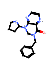 O=C1c2nccnc2N(C2CCCN2)CN1Cc1ccccc1